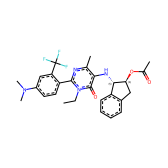 CCn1c(-c2ccc(N(C)C)cc2C(F)(F)F)nc(C)c(N[C@H]2c3ccccc3C[C@@H]2OC(C)=O)c1=O